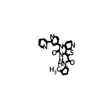 C[C@@H]1CCC[C@H]1NC(=O)c1sc2nccc3c2c1NC(=O)N3c1ccnc(-c2ccccn2)c1